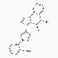 COc1ccccc1-n1cc(-c2ncn3c2c(=O)n(C(C)C)c2ccccc23)nn1